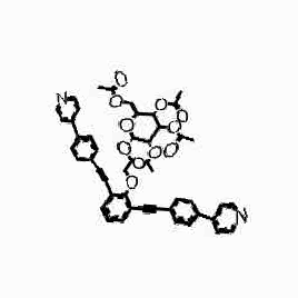 CC(=O)OCC1O[C@@H](OCCOc2c(C#Cc3ccc(-c4ccncc4)cc3)cccc2C#Cc2ccc(-c3ccncc3)cc2)[C@@H](OC(C)=O)C(OC(C)=O)[C@@H]1OC(C)=O